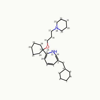 C1=CC(CC2CCCCC2)=CNC(C2(OCCCN3CCCCC3)CCCCC2)=C1